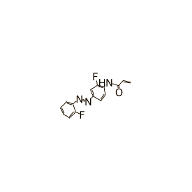 C=CC(=O)Nc1ccc(N=Nc2ccccc2F)cc1F